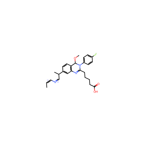 C/C=C\N=C/C(C)c1ccc2c(c1)N=C(CCCCC(=O)O)N(c1ccc(F)cc1)C2OC